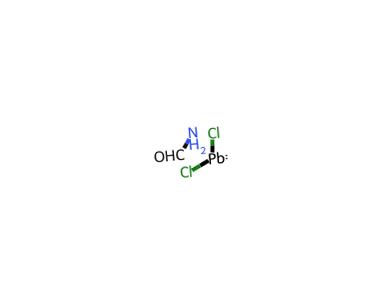 NC=O.[Cl][Pb][Cl]